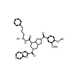 COc1cc(C(=O)N2CC3CN(C(=O)c4cn5ccncc5n4)CC(C(=O)N[C@@H](CCCc4ccccc4)C(C)=O)C3C2)ccc1OC(C)C